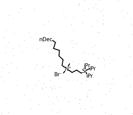 CCCCCCCCCCCCCCCC[N+](C)(C)CCC[Si](C(C)C)(C(C)C)C(C)C.[Br-]